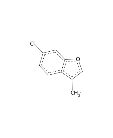 [CH2]c1coc2cc(Cl)ccc12